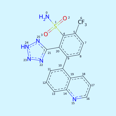 NS(=O)(=O)c1c(C(F)(F)F)ccc(-c2cccc3ncccc23)c1-c1nn[nH]n1